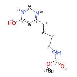 CC(C)(C)OC(=O)NCCC=Cc1cc(O)ncn1